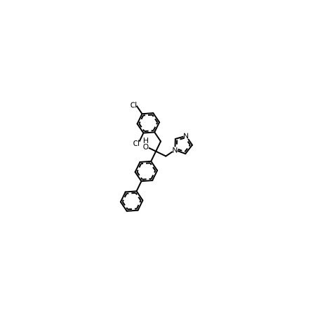 OC(Cc1ccc(Cl)cc1Cl)(Cn1ccnc1)c1ccc(-c2ccccc2)cc1